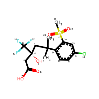 CC(C)(C[C@@](O)(CC(=O)O)C(F)(F)F)c1ccc(Cl)cc1S(C)(=O)=O